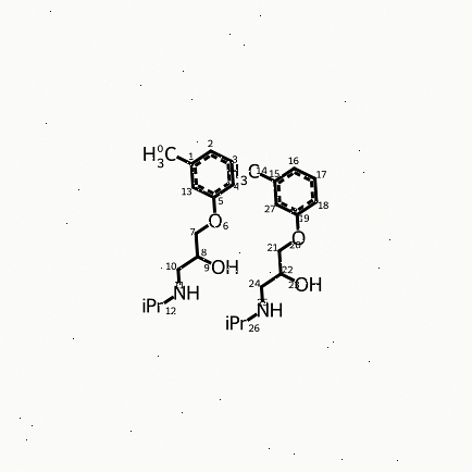 Cc1cccc(OCC(O)CNC(C)C)c1.Cc1cccc(OCC(O)CNC(C)C)c1